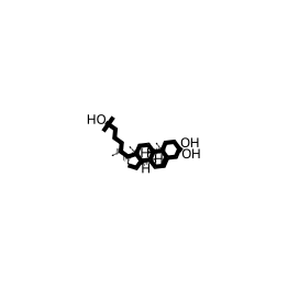 C[C@H](CCCC(C)(C)O)[C@H]1CC[C@H]2[C@@H]3CC=C4CC(O)(O)CC[C@]4(C)[C@H]3CC[C@]12C